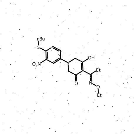 CCCCSc1ccc(C2CC(=O)C(C(CC)=NOCC)=C(O)C2)cc1[N+](=O)[O-]